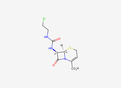 O=C(NCCCl)N[C@@H]1C(=O)N2C(C(=O)O)=CCS[C@H]12